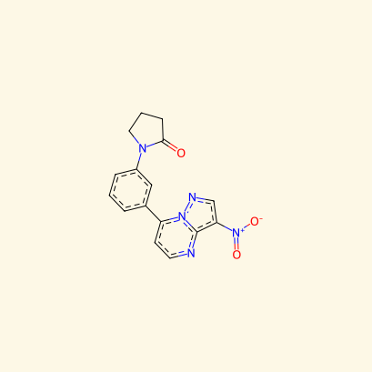 O=C1CCCN1c1cccc(-c2ccnc3c([N+](=O)[O-])cnn23)c1